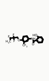 CC(F)C(F)(F)COc1ccc(NC(=O)c2ccccc2O)cc1C(F)(F)F